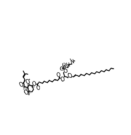 CCCCCCCCCCCCCCCCCOCC(COP(=O)(O)CCCN(C)C)OC(=O)CCCCCCCCC(=O)O[C@@H]1CC[C@]2(CO2)[C@@H]([C@@]2(C)OC2CC=C(C)C)[C@@H]1OC